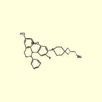 CCC(C)CC1CC2(CCN(c3cc(OC)c(C4c5ccc(O)cc5CCC4c4ccccc4)cc3F)CC2)C1